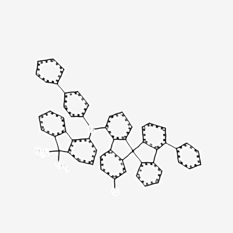 CC1(C)c2ccccc2-c2c(N(c3ccc(-c4ccccc4)cc3)c3cccc4c3-c3ccc(Cl)cc3C43c4ccccc4-c4c(-c5ccccc5)cccc43)cccc21